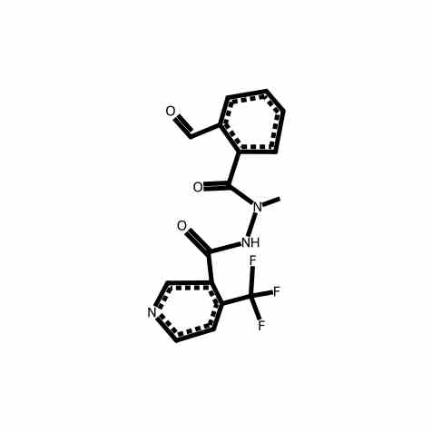 CN(NC(=O)c1cnccc1C(F)(F)F)C(=O)c1ccccc1C=O